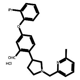 Cc1cccc(CN2CCC(c3ccc(Oc4ccccc4C(C)C)cc3C=O)C2)n1.Cl